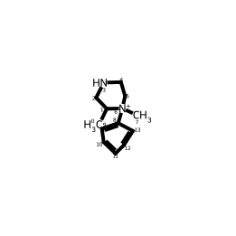 CC1CNCC[N+]1(C)c1ccccc1